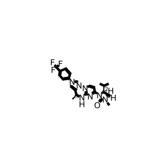 [2H]C1([2H])[C@H](C(C)C)N(c2ccnc(N[C@@H](C)c3cn(-c4ccc(C(F)(F)F)cc4)cn3)n2)C(=O)N1C